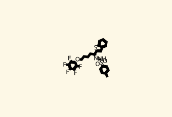 Cc1ccc(S(=O)(=O)N/N=C(/CCCCOc2c(F)c(F)c(F)c(F)c2F)c2cc3ccccc3s2)cc1